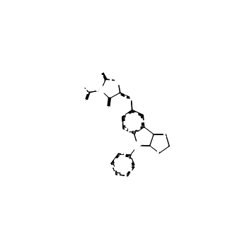 O=C(O)N1C(=O)/C(=C\c2ccc3c(c2)C2CCCC2N3c2ccccc2)SC1=S